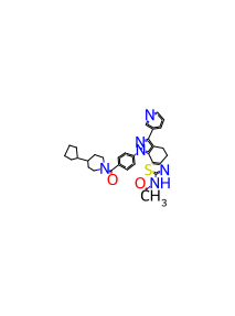 CC(=O)Nc1nc2c(s1)-c1c(c(-c3cccnc3)nn1-c1ccc(C(=O)N3CCC(C4CCCC4)CC3)cc1)CC2